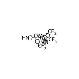 COC(c1ccc(C(F)(F)F)cc1CN(Cc1cc(C(F)(F)F)cc(C(F)(F)F)c1)c1nnn(C)n1)C1CCNCC1